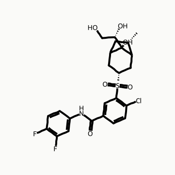 C[C@H]1CC2C[C@@H](S(=O)(=O)c3cc(C(=O)Nc4ccc(F)c(F)c4)ccc3Cl)CC1[C@@]2(O)[C@@H](O)CO